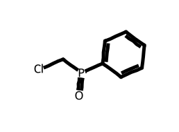 O=[P](CCl)c1ccccc1